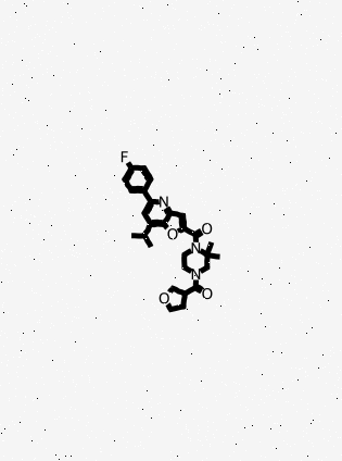 CC(C)c1cc(-c2ccc(F)cc2)nc2cc(C(=O)N3CCN(C(=O)C4CCOC4)CC3(C)C)oc12